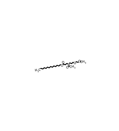 CCCCCCCCCCCCCCOC(=O)CCN(CCCOCCOC)C(C)=O